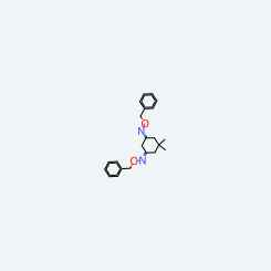 CC1(C)CC(=NOCc2ccccc2)CC(=NOCc2ccccc2)C1